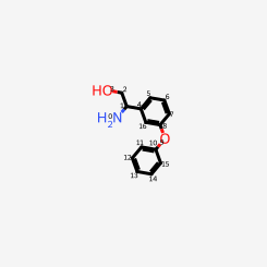 NC(CO)c1cccc(Oc2ccccc2)c1